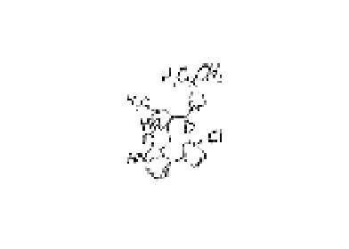 Cc1cc(C(=O)N2CCC(N(C)C)C2)c(C=C2C(=O)Nc3cccc(-c4ccc(Cl)cc4)c32)[nH]1